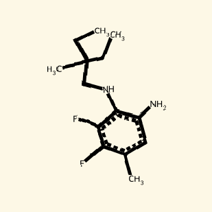 CCC(C)(CC)CNc1c(N)cc(C)c(F)c1F